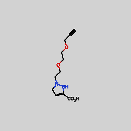 C#CCOCCOCCN1CC=C(C(=O)O)N1